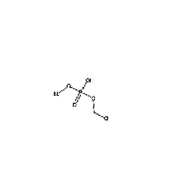 CCOP(=O)(O)OCCl